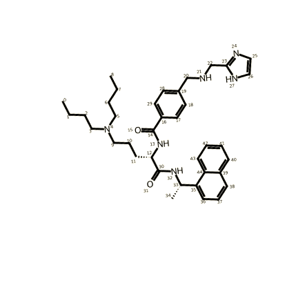 CCCCN(CCCC)CCC[C@H](NC(=O)c1ccc(CNCc2ncc[nH]2)cc1)C(=O)N[C@@H](C)c1cccc2ccccc12